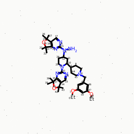 CCOc1cc(CN2CCC(C3CC(N(N)c4ncc5c(n4)C(C)(C)OC5(C)C)CCN3c3ncc4c(n3)C(C)(C)OC4(C)C)CC2)cc(OCC)c1